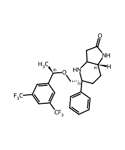 C[C@@H](OC[C@@]1(c2ccccc2)CC[C@H]2NC(=O)CC2N1)c1cc(C(F)(F)F)cc(C(F)(F)F)c1